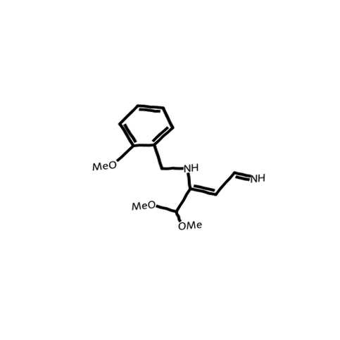 COc1ccccc1CN/C(=C\C=N)C(OC)OC